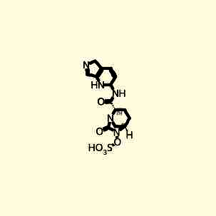 O=C(NC1C=CC2=C(C=NC2)N1)[C@@H]1CC[C@@H]2CN1C(=O)N2OS(=O)(=O)O